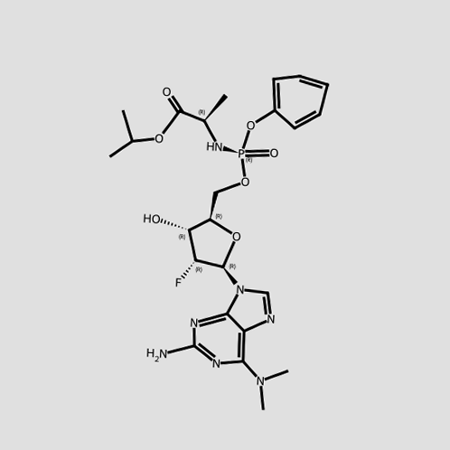 CC(C)OC(=O)[C@@H](C)N[P@@](=O)(OC[C@H]1O[C@@H](n2cnc3c(N(C)C)nc(N)nc32)[C@H](F)[C@@H]1O)Oc1ccccc1